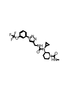 CNC(=O)N1CCC[C@@H](N(C(=O)NCc2cn(-c3cccc(OC(F)(F)F)c3)nn2)C2CC2)C1